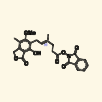 COc1c(C)c2c(c(O)c1C/C=C(\C)CCC(=O)ON1C(=O)c3ccccc3C1=O)C(=O)OC2